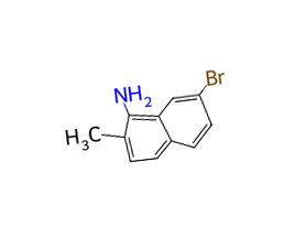 Cc1ccc2ccc(Br)cc2c1N